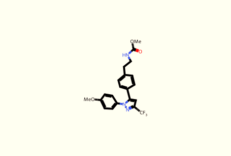 COC(=O)NCCc1ccc(-c2cc(C(F)(F)F)nn2-c2ccc(OC)cc2)cc1